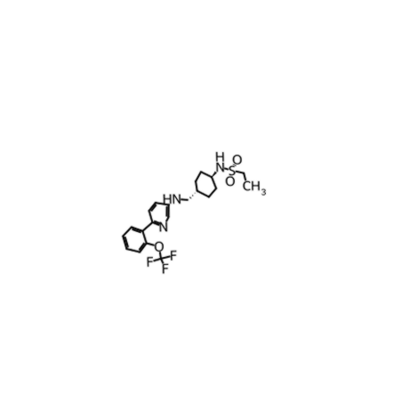 CCS(=O)(=O)N[C@H]1CC[C@H](CNc2ccc(-c3ccccc3OC(F)(F)F)nc2)CC1